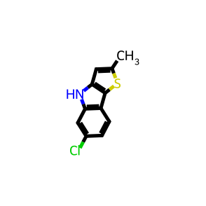 Cc1cc2[nH]c3cc(Cl)ccc3c2s1